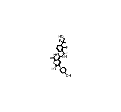 Cc1nnc(N[C@H](C)c2cccc(C(F)(F)CO)c2F)c2cc(N3CCC(O)CC3)c(O)nc12